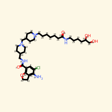 Nc1c(Cl)cc(C(=O)NCC2CCN(CC3CCN(CCCCCCC(=O)NCCCCC(O)CO)CC3)CC2)c2c1CCO2